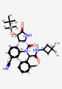 Cc1ccccc1C(C(=O)NC1CC(F)(F)C1)N(C(=O)[C@@H]1C[C@@H](O[Si](C)(C)C(C)(C)C)C(=O)N1)c1cccc(C#N)c1